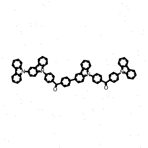 O=C(c1ccc(-n2c3ccccc3c3ccccc32)cc1)c1ccc(-n2c3ccccc3c3cc(-c4ccc(C(=O)c5ccc(-n6c7ccccc7c7cc(-n8c9ccccc9c9ccccc98)ccc76)cc5)cc4)ccc32)cc1